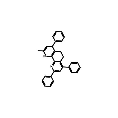 CC1=CC(c2ccccc2)C2=C(N1)c1nc(-c3ccccc3)cc(-c3ccccc3)c1CC2